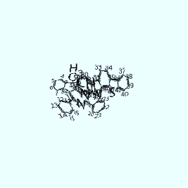 CC1(C)c2ccccc2-c2c(-c3ccccc3)nc(-c3ccccc3-n3c4ccccc4c4ccc5c6ccccc6sc5c43)nc21